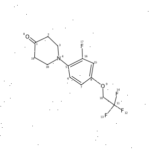 O=C1CCN(c2ccc(OCC(F)(F)F)cc2F)CC1